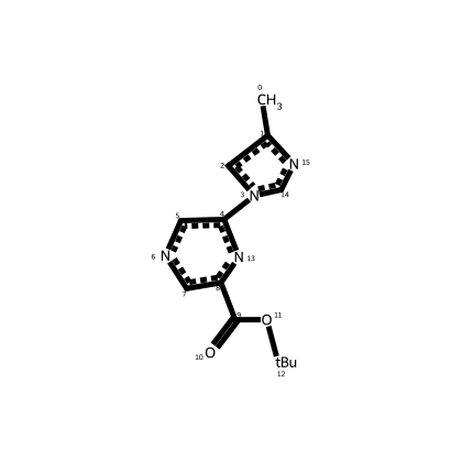 Cc1cn(-c2cncc(C(=O)OC(C)(C)C)n2)cn1